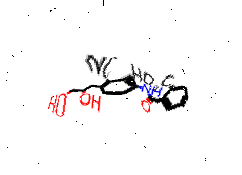 N#Cc1cc(NC(=O)c2ccccc2C(=O)O)ccc1CC(O)CO